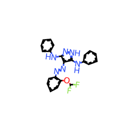 FC(F)Oc1ccccc1N=Nc1c(Nc2ccccc2)n[nH]c1Nc1ccccc1